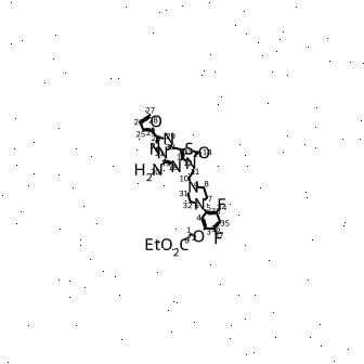 CCOC(=O)COc1cc(N2CCN(CCn3c(=O)sc4c3nc(N)n3nc(-c5ccco5)nc43)CC2)c(F)cc1F